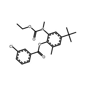 CCOC(=O)N(C)c1cc(C(C)(C)C)cc(C)c1OC(=O)c1cccc(Cl)c1